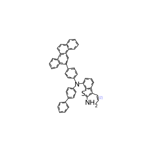 C/C=C\c1c(N)sc2c(N(c3ccc(-c4ccccc4)cc3)c3ccc(-c4cc5c6ccccc6ccc5c5ccccc45)cc3)cccc12